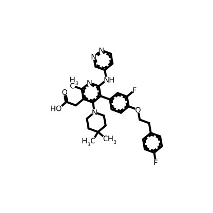 Cc1nc(Nc2ccnnc2)c(-c2ccc(OCCc3ccc(F)cc3)c(F)c2)c(N2CCC(C)(C)CC2)c1CC(=O)O